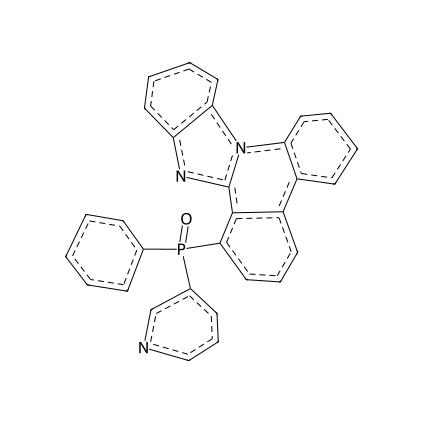 O=P(c1ccccc1)(c1cccnc1)c1cccc2c3ccccc3n3c4ccccc4nc3c12